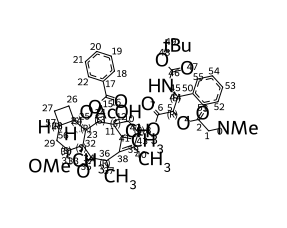 CNCC(=O)O[C@@H](C(=O)O[C@H]1C[C@@]2(O)[C@@H](OC(=O)c3ccccc3)[C@@H]3[C@]4(OC(C)=O)CC[C@@H]4C[C@H](OC)[C@@]3(C)C(=O)[C@H](C)C(=C1C)C2(C)C)[C@@H](NC(=O)OC(C)(C)C)c1ccccc1